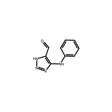 O=Cc1[nH]nnc1Nc1ccccc1